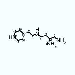 NCC(N)CCNCCN1CCNCC1